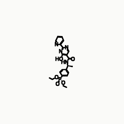 CCOP(=O)(OCC)c1ccc([C@H](C)NC(=O)c2cnc(-c3ccccn3)nc2O)cc1